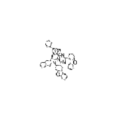 c1ccc(-c2ccc(-c3nc(-c4cc5c(cc4-n4c6cc7ccccc7cc6c6cc7ccccc7cc64)oc4ccccc45)nc(-c4cccc5oc6ccccc6c45)n3)cc2)cc1